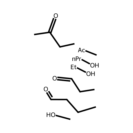 CC(C)=O.CCC(C)=O.CCC=O.CCCC=O.CCCO.CCO.CO